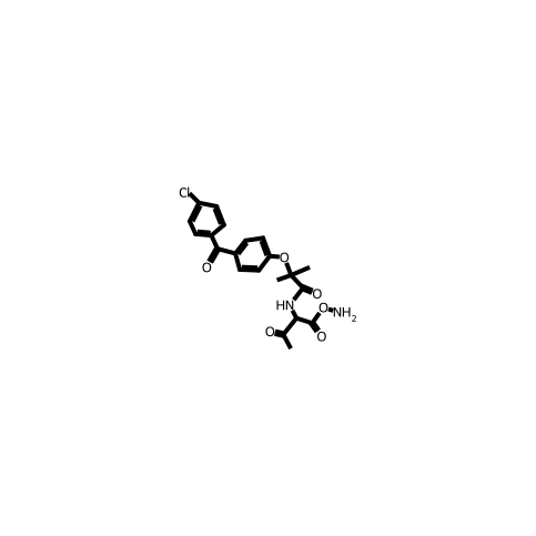 CC(=O)C(NC(=O)C(C)(C)Oc1ccc(C(=O)c2ccc(Cl)cc2)cc1)C(=O)ON